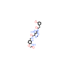 COc1cccc(CC(=O)Nc2n[nH]c3c(C(=O)NCc4ccc5c(c4)NC(=O)CO5)ncnc23)c1